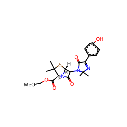 COCOC(=O)[C@@H]1N2C(=O)C(N3C(=O)C(c4ccc(O)cc4)=NC3(C)C)[C@H]2SC1(C)C